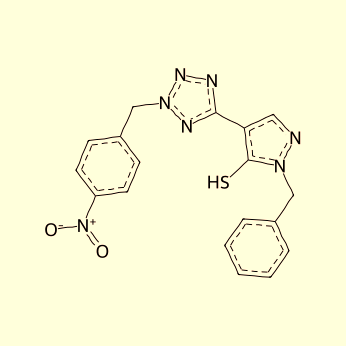 O=[N+]([O-])c1ccc(Cn2nnc(-c3cnn(Cc4ccccc4)c3S)n2)cc1